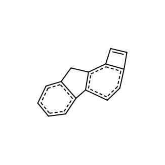 C1=Cc2c1ccc1c2Cc2ccccc2-1